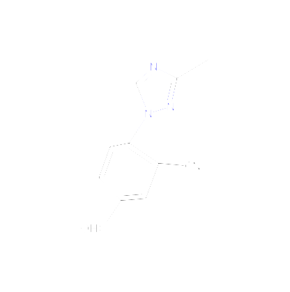 Cc1ncn(-c2ccc(C=O)cc2C#N)n1